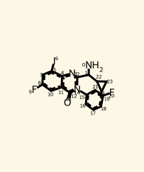 NC(c1nc2c(I)cc(F)cc2c(=O)n1-c1cccc(F)c1)C1CC1